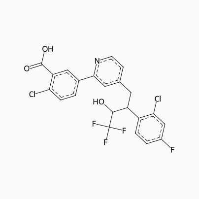 O=C(O)c1cc(-c2cc(CC(c3ccc(F)cc3Cl)C(O)C(F)(F)F)ccn2)ccc1Cl